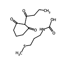 CCCC(=O)C1C(=O)CCCC1=O.CSCCCNC(=O)O